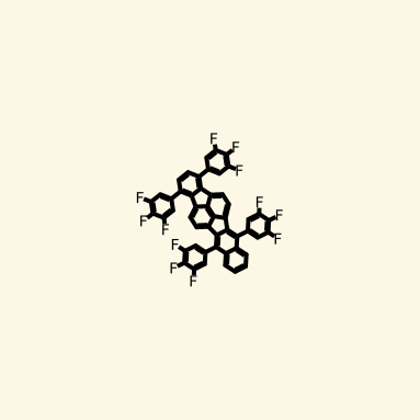 Fc1cc(-c2ccc(-c3cc(F)c(F)c(F)c3)c3c2-c2ccc4c5c(ccc-3c25)-c2c-4c(-c3cc(F)c(F)c(F)c3)c3ccccc3c2-c2cc(F)c(F)c(F)c2)cc(F)c1F